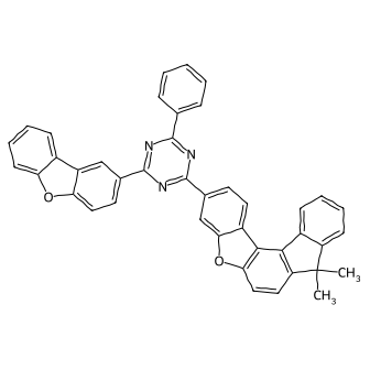 CC1(C)c2ccccc2-c2c1ccc1oc3cc(-c4nc(-c5ccccc5)nc(-c5ccc6oc7ccccc7c6c5)n4)ccc3c21